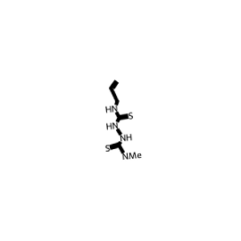 C=CCNC(=S)NNC(=S)NC